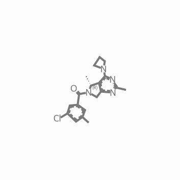 Cc1cc(Cl)cc(C(=O)N2Cc3nc(C)nc(N4CCC4)c3[C@H]2C)c1